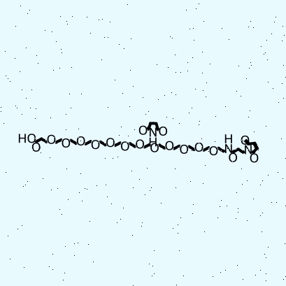 O=C(O)CCOCCOCCOCCOCCOCCOCCOCCOCCOCCOCCOCCOCCNC(=O)CCN1C(=O)C=CC1=O.O=C1CCC(=O)N1